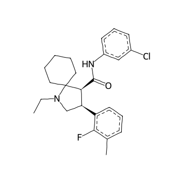 CCN1C[C@H](c2cccc(C)c2F)[C@H](C(=O)Nc2cccc(Cl)c2)C12CCCCC2